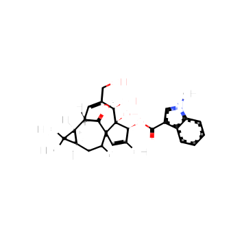 CC1=CC23C(=O)[C@@H](C=C(CO)[C@@H](O)[C@]2(O)[C@H]1OC(=O)c1cn(C)c2ccccc12)[C@H]1[C@@H](CC3C)C1(C)C